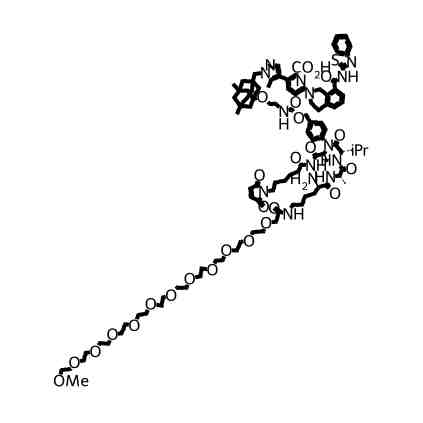 COCCOCCOCCOCCOCCOCCOCCOCCOCCOCCOCCOCC(=O)NCCCC[C@H](N)C(=O)N[C@@H](C)C(=O)N[C@H](C(=O)N(c1ccc(COC(=O)NCCOC23CC4(C)CC(C)(CC(Cn5ncc(-c6ccc(N7CCc8cccc(C(=O)Nc9nc%10ccccc%10s9)c8C7)nc6C(=O)O)c5C)(C4)C2)C3)cc1)[C@@H](C)C(=O)NC(=O)CCCCCN1C(=O)C=CC1=O)C(C)C